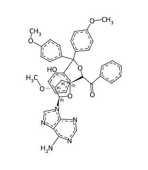 COc1ccc(C(OC(C(=O)c2ccccc2)[C@H]2O[C@@H](n3cnc4c(N)ncnc43)[C@H](OC)[C@@H]2O)(c2ccccc2)c2ccc(OC)cc2)cc1